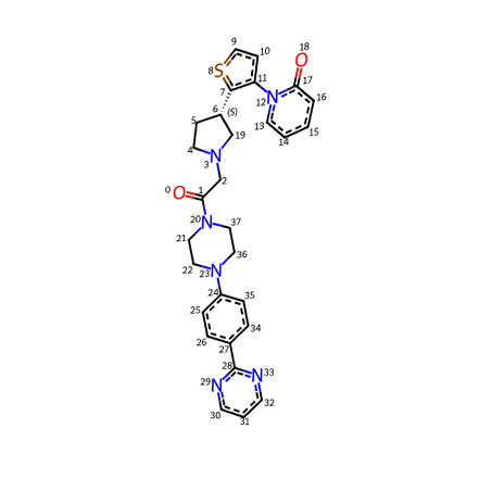 O=C(CN1CC[C@H](c2sccc2-n2ccccc2=O)C1)N1CCN(c2ccc(-c3ncccn3)cc2)CC1